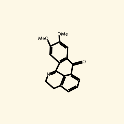 COc1cc2c(cc1OC)C1=NCCc3cccc(c31)C2=O